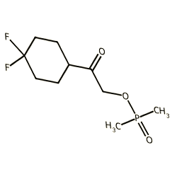 CP(C)(=O)OCC(=O)C1CCC(F)(F)CC1